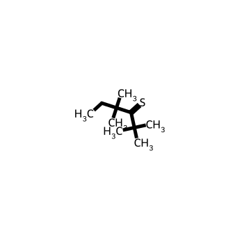 CCC(C)(C)C(=S)C(C)(C)C